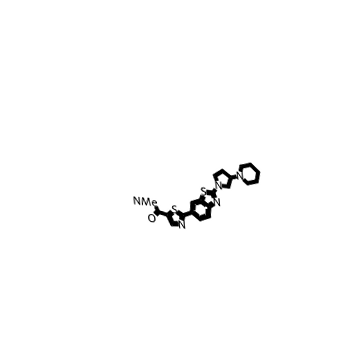 CNC(=O)c1cnc(-c2ccc3nc(N4CCC(N5CCCCC5)C4)sc3c2)s1